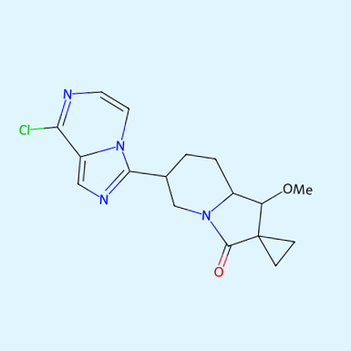 COC1C2CCC(c3ncc4c(Cl)nccn34)CN2C(=O)C12CC2